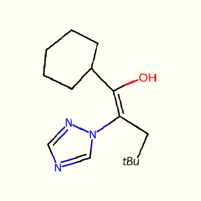 CC(C)(C)CC(=C(O)C1CCCCC1)n1cncn1